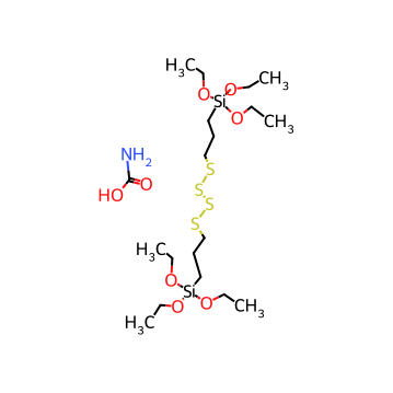 CCO[Si](CCCSSSSCCC[Si](OCC)(OCC)OCC)(OCC)OCC.NC(=O)O